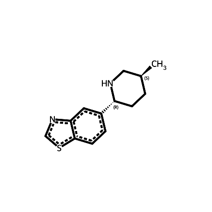 C[C@H]1CC[C@H](c2ccc3scnc3c2)NC1